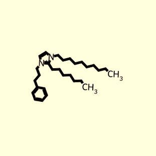 CCCCCCCCCCn1cc[n+](CCCc2ccccc2)c1CCCCCCC